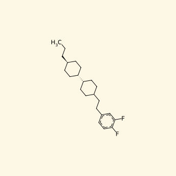 CCC[C@H]1CC[C@H](C2CCC(CCc3ccc(F)c(F)c3)CC2)CC1